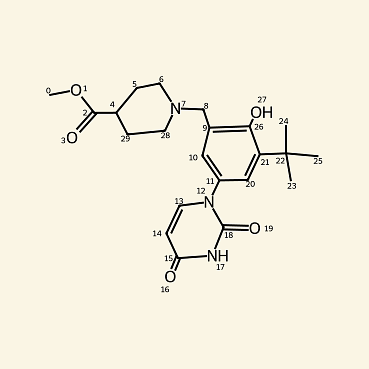 COC(=O)C1CCN(Cc2cc(-n3ccc(=O)[nH]c3=O)cc(C(C)(C)C)c2O)CC1